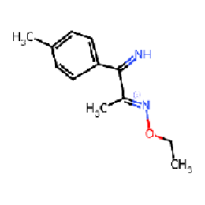 CCO/N=C(\C)C(=N)c1ccc(C)cc1